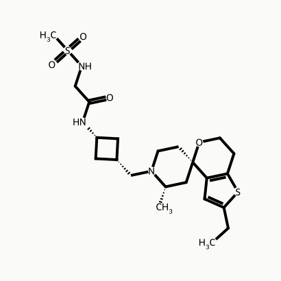 CCc1cc2c(s1)CCO[C@@]21CCN(C[C@H]2C[C@@H](NC(=O)CNS(C)(=O)=O)C2)[C@@H](C)C1